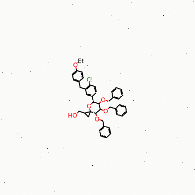 CCOc1ccc(Cc2cc(C3OC4(CC4CO)C(OCc4ccccc4)C(OCc4ccccc4)C3OCc3ccccc3)ccc2Cl)cc1